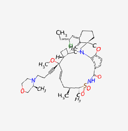 C=C1/C(=C\C(Cl)=C/C)CCC[C@]12COc1ccc3cc1N(C[C@@H]1CC[C@H]1[C@@](C#CCCN1CCOC[C@@H]1C)(OC)/C=C/C[C@H](C)[C@@H](C)S(=O)(=O)NC3=O)C2